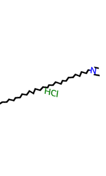 CCCCCCCCCCCCCCCCCCCCCCCCCCCCN(CC)CC.Cl